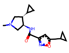 CN1C[C@H](NC(=O)c2cc(C3CC3)on2)[C@@H](C2CC2)C1